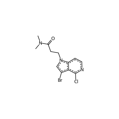 CN(C)C(=O)CCn1cc(Br)c2c(Cl)nccc21